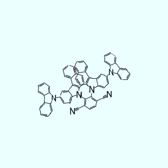 N#Cc1ccc(C#N)c(-n2c3ccc(-n4c5ccccc5c5ccccc54)cc3c3c4ccccc4ccc32)c1-n1c2ccc(-n3c4ccccc4c4ccccc43)cc2c2c3ccccc3ccc21